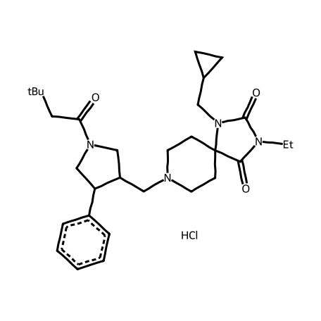 CCN1C(=O)N(CC2CC2)C2(CCN(CC3CN(C(=O)CC(C)(C)C)CC3c3ccccc3)CC2)C1=O.Cl